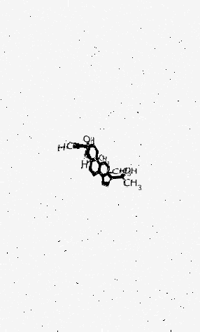 C#C[C@]1(O)CC[C@]2(C)C3CC[C@@]4(C)C(CC[C@@H]4[C@@H](C)O)C3CC[C@H]2C1